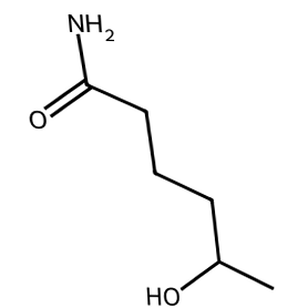 CC(O)CCCC(N)=O